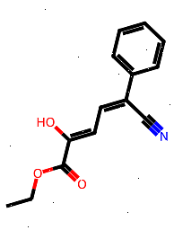 CCOC(=O)C(O)=CC=C(C#N)c1ccccc1